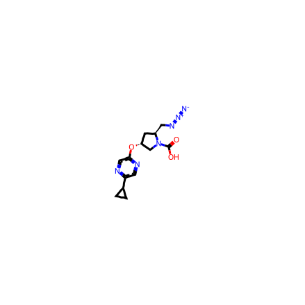 [N-]=[N+]=NC[C@@H]1C[C@@H](Oc2cnc(C3CC3)cn2)CN1C(=O)O